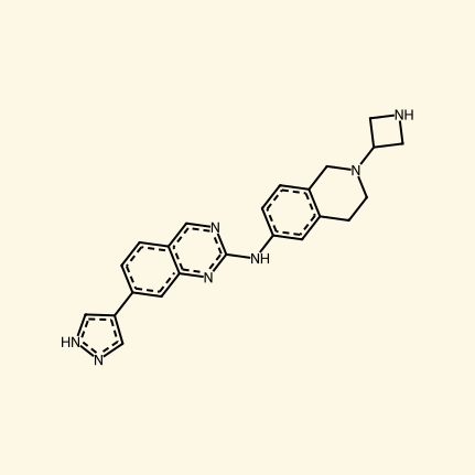 c1cc2c(cc1Nc1ncc3ccc(-c4cn[nH]c4)cc3n1)CCN(C1CNC1)C2